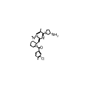 C=NN1C=C(C)C(N2CC[C@H](N)C2)=N/C1=C/C1CCCCN1C(=O)c1ccc(C)c(Cl)c1